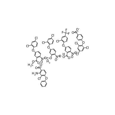 COC(=O)c1cc(Oc2ccc(Cl)cc2Cl)ccc1[N+](=O)[O-].COc1cc(Oc2ccc(Cl)cc2Cl)ccc1[N+](=O)[O-].Nc1c([N+](=O)[O-])ccc(Oc2ccccc2)c1Cl.O=C(O)c1cc(Oc2ccc(C(F)(F)F)cc2Cl)ccc1[N+](=O)[O-].O=[N+]([O-])c1ccc(Oc2c(Cl)cc(Cl)cc2Cl)cc1